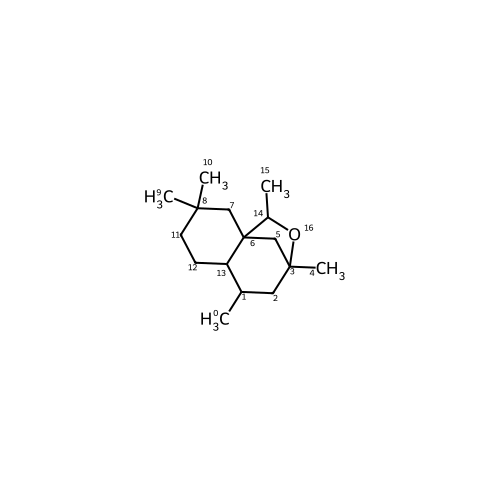 CC1CC2(C)CC3(CC(C)(C)CCC13)C(C)O2